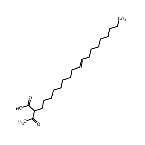 CCCCCCCCC=CCCCCCCCCC(C(C)=O)C(=O)O